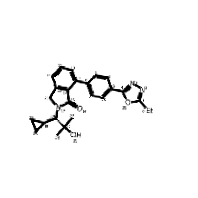 CCc1nnc(-c2ccc(-c3cccc4c3C(=O)N([C@H](C3CC3)C(C)(C)O)C4)cc2)o1